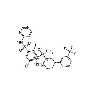 C[N+](C)([O-])[C@H]1CC(c2cccc(C(F)(F)F)c2)CC[C@@H]1Nc1cc(F)c(S(=O)(=O)Nc2ccncn2)cc1Cl